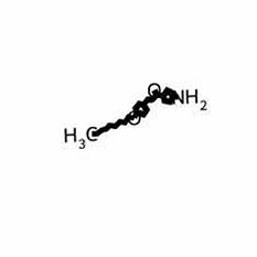 CCCCCCCCCOc1ccc(C=CC(=O)c2ccc(N)cc2)cc1